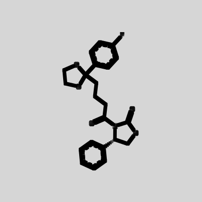 O=C(CCCC1(c2ccc(F)cc2)OCCO1)N1C(=O)OC[C@@H]1c1ccccc1